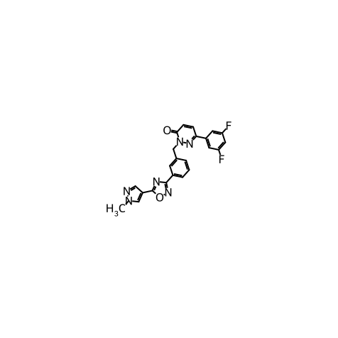 Cn1cc(-c2nc(-c3cccc(Cn4nc(-c5cc(F)cc(F)c5)ccc4=O)c3)no2)cn1